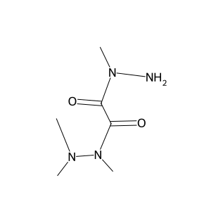 CN(N)C(=O)C(=O)N(C)N(C)C